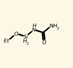 CCO[SiH2]NC(N)=O